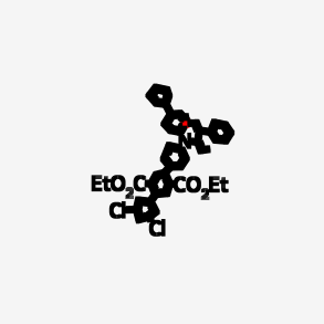 C=C/C=C(\C(=C/C)N(c1ccc(-c2ccccc2)cc1)c1ccc(-c2cc(C(=O)OCC)c(-c3cc(Cl)cc(Cl)c3)cc2C(=O)OCC)cc1)c1ccccc1